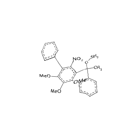 COc1c(OC)c(-c2ccccc2)c([N+](=O)[O-])c(C(C)(O[SiH3])c2ccccc2)c1OC